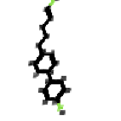 FC=CCCCc1ccc(-c2ccc(F)cc2)cc1